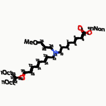 CCCCCCCCCOC(=O)CCCCCCCN(CCCCCCCCOC(CCCCCCCC)CCCCCCCC)CCCOC